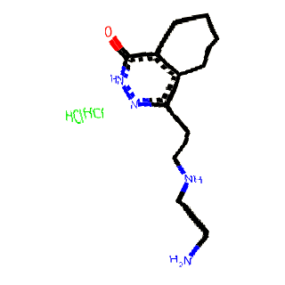 Cl.Cl.NCCNCCc1n[nH]c(=O)c2c1CCCC2